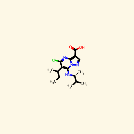 CCC(C)c1c(Cl)nc2c(C(=O)O)cnn2c1N[C@H](C)C(C)C